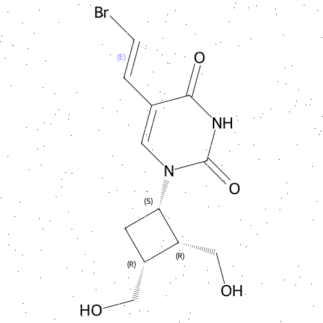 O=c1[nH]c(=O)n([C@H]2C[C@@H](CO)[C@H]2CO)cc1/C=C/Br